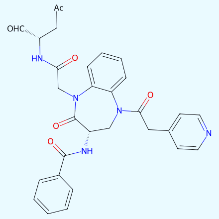 CC(=O)C[C@@H](C=O)NC(=O)CN1C(=O)[C@@H](NC(=O)c2ccccc2)CN(C(=O)Cc2ccncc2)c2ccccc21